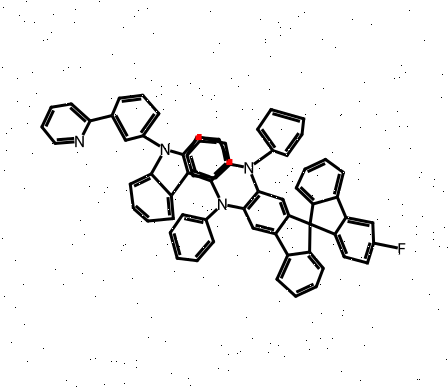 Fc1ccc2c(c1)-c1ccccc1C21c2ccccc2-c2cc(N(c3ccccc3)c3cccc4c3c3ccccc3n4-c3cccc(-c4ccccn4)c3)c(N(c3ccccc3)c3ccccc3)cc21